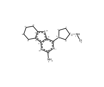 CCN[C@H]1CCN(c2nc(N)nc3c4c(sc23)CCCC4)C1